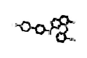 Cc1cccnc1Cn1c(=O)ccc2cnc(Nc3ccc(N4CCN(C)CC4)cc3)nc21